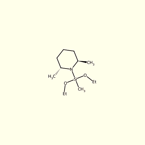 CCO[Si](C)(OCC)N1[C@H](C)CCC[C@H]1C